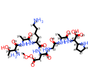 COOC(=O)CC(NC(=O)C(CCCCN)NC(=O)C(C)NC(=O)C(N)C(C)O)C(=O)NCC(=O)NC(C)C(=O)NC(C(=O)O)C1CCCN1